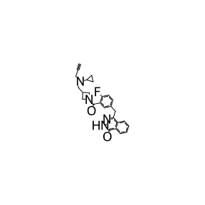 C#CCN(CC1CN(C(=O)c2cc(Cc3n[nH]c(=O)c4ccccc34)ccc2F)C1)C1CC1